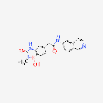 CN1B(O)c2ccc(CC(=O)Nc3ccc4cnccc4c3)cc2NC1=O